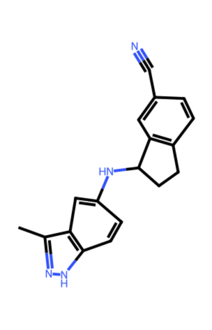 Cc1n[nH]c2ccc(NC3CCc4ccc(C#N)cc43)cc12